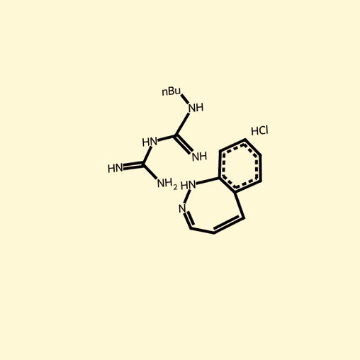 C1=Cc2ccccc2NN=C1.CCCCNC(=N)NC(=N)N.Cl